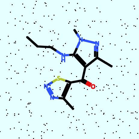 CCCNc1c(C(=O)c2snnc2C)c(C)nn1C